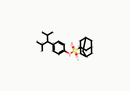 CC(C)C(c1ccc(OS(=O)(=O)C23CC4CC(CC(C4)C2)C3)cc1)C(C)C